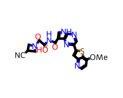 COc1ccnc2cc(-c3cnc4[nH]cc(C(=O)N[C@H](O)C(=O)N5CC(C#N)C5)c4n3)sc12